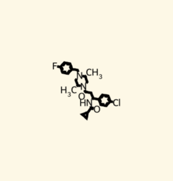 CC1CN(C(=O)CC(NC(=O)C2CC2)c2ccc(Cl)cc2)C(C)CN1Cc1ccc(F)cc1